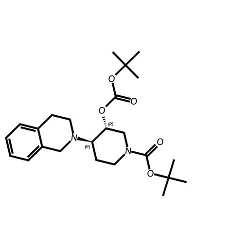 CC(C)(C)OC(=O)O[C@@H]1CN(C(=O)OC(C)(C)C)CC[C@H]1N1CCc2ccccc2C1